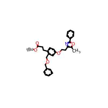 Cc1oc(-c2ccccc2)nc1CCOc1ccc(CCC(=O)OC(C)(C)C)c(COCc2ccccc2)c1